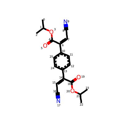 CC(C)OC(=O)C(=CC#N)c1ccc(C(=CC#N)C(=O)OC(C)C)cc1